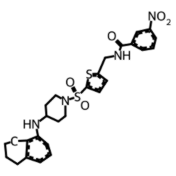 O=C(NCc1ccc(S(=O)(=O)N2CCC(Nc3cccc4c3CCCC4)CC2)s1)c1cccc([N+](=O)[O-])c1